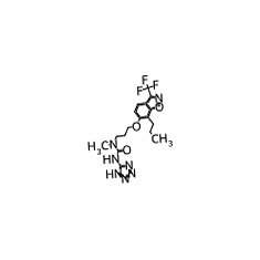 CCCc1c(OCCCN(C)C(=O)Nc2nnn[nH]2)ccc2c(C(F)(F)F)noc12